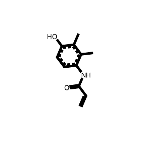 C=CC(=O)Nc1ccc(O)c(C)c1C